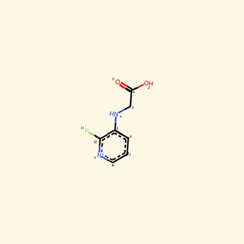 O=C(O)CNc1cccnc1F